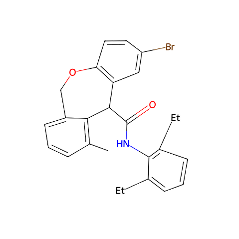 CCc1cccc(CC)c1NC(=O)C1c2cc(Br)ccc2OCc2cccc(C)c21